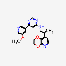 COc1cncc(-c2cc(NCC(C)c3ccnc4c3OCCO4)ncn2)c1